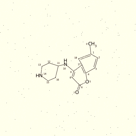 Cc1ccc2oc(=O)cc(NC3CCNCC3)c2c1